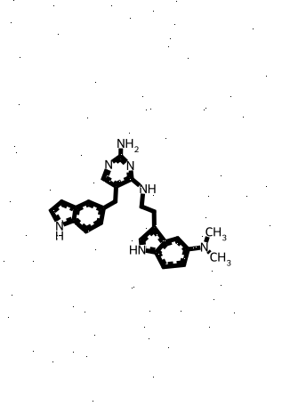 CN(C)c1ccc2[nH]cc(CCNc3nc(N)ncc3Cc3ccc4[nH]ccc4c3)c2c1